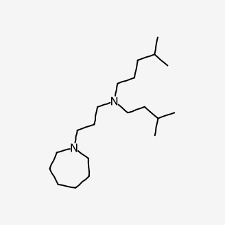 CC(C)CCCN(CCCN1CCCCCC1)CCC(C)C